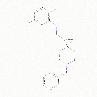 Cc1ccc(F)c(NCC2CC23CCN(Cc2ccccc2)CC3)c1